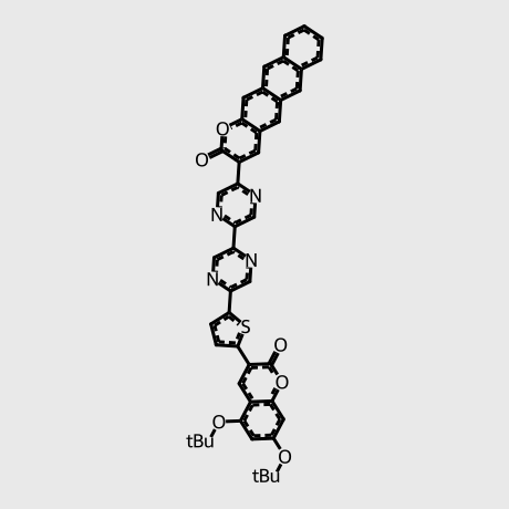 CC(C)(C)Oc1cc(OC(C)(C)C)c2cc(-c3ccc(-c4cnc(-c5cnc(-c6cc7cc8cc9ccccc9cc8cc7oc6=O)cn5)cn4)s3)c(=O)oc2c1